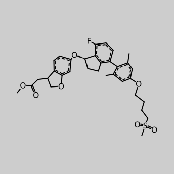 COC(=O)CC1COc2cc(O[C@@H]3CCc4c(-c5c(C)cc(OCCCCS(C)(=O)=O)cc5C)ccc(F)c43)ccc21